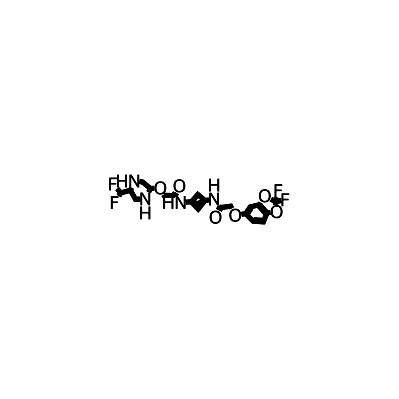 O=C(COc1ccc2c(c1)OC(F)(F)O2)NC12CC(NC(=O)COC3CNC(C(F)F)CN3)(C1)C2